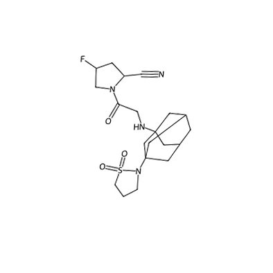 N#CC1CC(F)CN1C(=O)CNC12CC3CC(C1)CC(N1CCCS1(=O)=O)(C3)C2